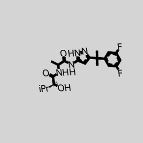 CC(NC(=O)[C@@H](O)C(C)C)C(=O)Nc1cc(C(C)(C)c2cc(F)cc(F)c2)n[nH]1